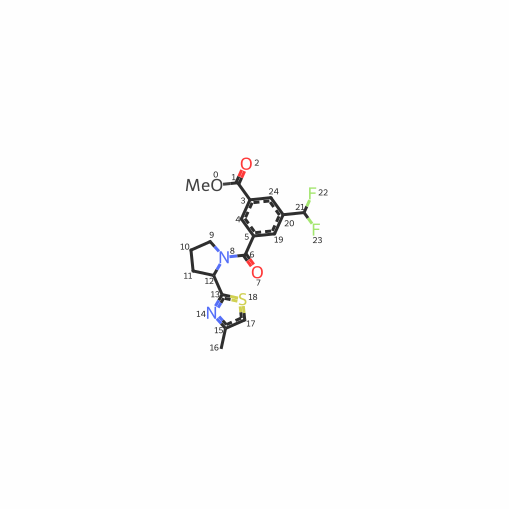 COC(=O)c1cc(C(=O)N2CCCC2c2nc(C)cs2)cc(C(F)F)c1